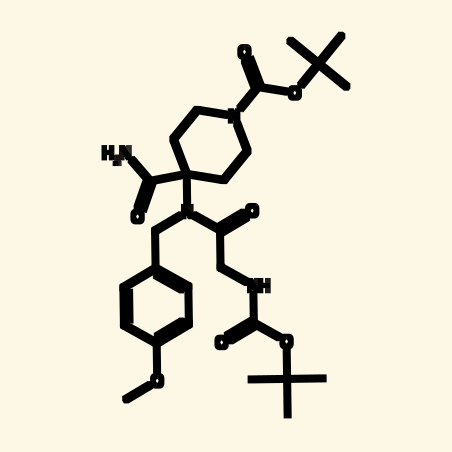 COc1ccc(CN(C(=O)CNC(=O)OC(C)(C)C)C2(C(N)=O)CCN(C(=O)OC(C)(C)C)CC2)cc1